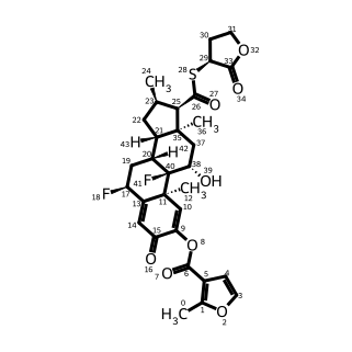 Cc1occc1C(=O)OC1=C[C@@]2(C)C(=CC1=O)[C@@H](F)C[C@@H]1[C@@H]3C[C@@H](C)[C@@H](C(=O)S[C@H]4CCOC4=O)[C@@]3(C)C[C@H](O)[C@@]12F